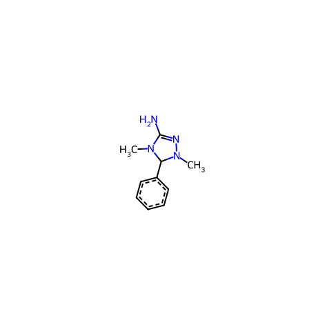 CN1N=C(N)N(C)C1c1ccccc1